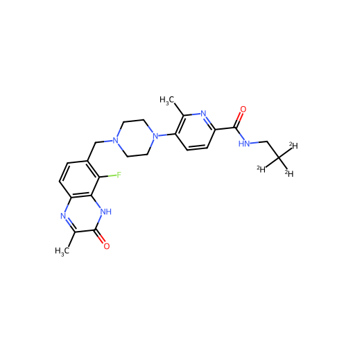 [2H]C([2H])([2H])CNC(=O)c1ccc(N2CCN(Cc3ccc4nc(C)c(=O)[nH]c4c3F)CC2)c(C)n1